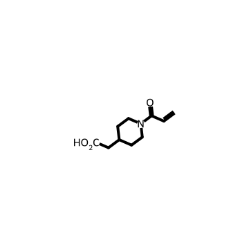 C=CC(=O)N1CCC(CC(=O)O)CC1